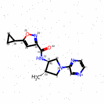 C[C@H]1CN(c2cnccn2)C[C@@H]1NC(=O)c1cc(C2CC2)on1